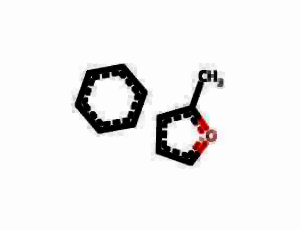 Cc1ccco1.c1ccccc1